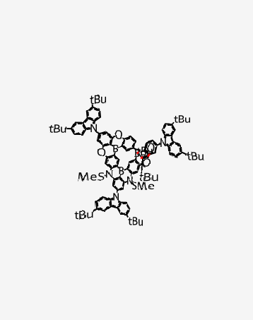 CSN1c2cc3c(cc2B2c4cc5c(cc4N(SC)c4cc(-n6c7ccc(C(C)(C)C)cc7c7cc(C(C)(C)C)ccc76)cc1c42)Oc1cc(-n2c4ccc(C(C)(C)C)cc4c4cc(C(C)(C)C)ccc42)cc2c1B5c1cc(C(C)(C)C)ccc1O2)B1c2cc(C(C)(C)C)ccc2Oc2cc(-n4c5ccc(C(C)(C)C)cc5c5cc(C(C)(C)C)ccc54)cc(c21)O3